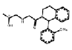 COc1ccccc1C1c2ccccc2CCN1C(=O)CNC[C@H](C)O